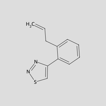 C=CCc1ccccc1-c1csnn1